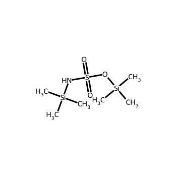 C[Si](C)(C)NS(=O)(=O)O[Si](C)(C)C